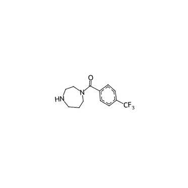 O=C(c1ccc(C(F)(F)F)cc1)N1CCCNCC1